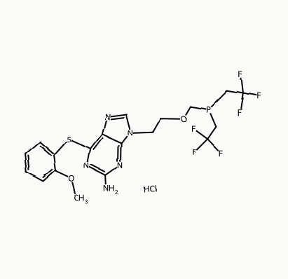 COc1ccccc1Sc1nc(N)nc2c1ncn2CCOCP(CC(F)(F)F)CC(F)(F)F.Cl